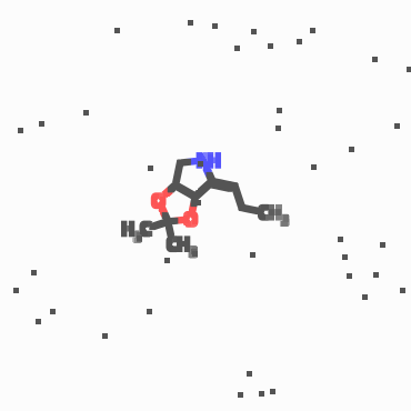 CCC=C1NCC2OC(C)(C)OC12